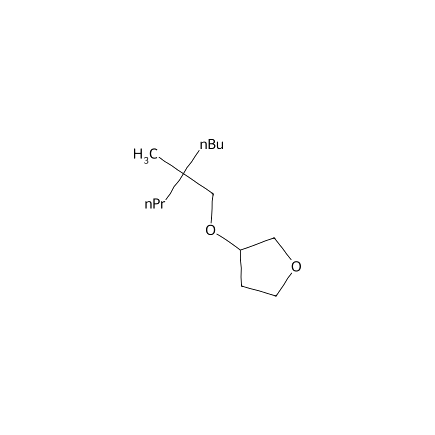 CCCCC(C)(CCC)COC1CCOC1